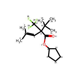 CC(C)=CC(C(=O)OC1CCCC1)(C(C)(C)C)C(F)(F)F